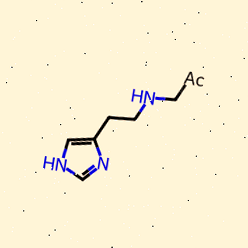 CC(=O)CNCCc1c[nH]cn1